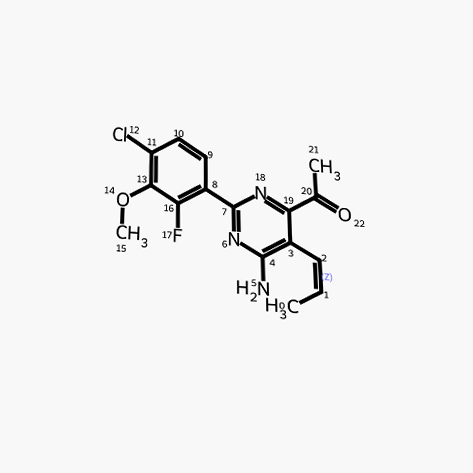 C/C=C\c1c(N)nc(-c2ccc(Cl)c(OC)c2F)nc1C(C)=O